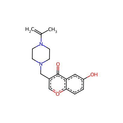 C=C(C)N1CCN(Cc2coc3ccc(O)cc3c2=O)CC1